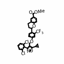 COC(=O)c1ccc2c(c1)CCC(c1ccc(OCc3c(-c4c(Cl)cccc4Cl)noc3C3CC3)cc1C(F)(F)F)O2